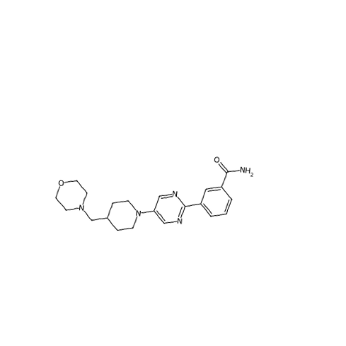 NC(=O)c1cccc(-c2ncc(N3CCC(CN4CCOCC4)CC3)cn2)c1